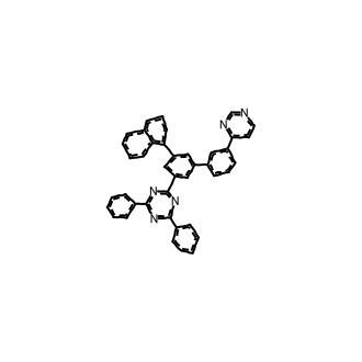 c1ccc(-c2nc(-c3ccccc3)nc(-c3cc(-c4cccc(-c5ccncn5)c4)cc(-c4cccc5ccccc45)c3)n2)cc1